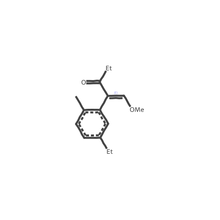 CCC(=O)/C(=C/OC)c1cc(CC)ccc1C